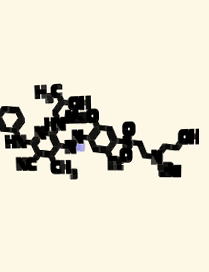 CCc1cc(/N=N/c2c(NCC(C)O)nc(Nc3ccccc3)c(C#N)c2C)c(OC)cc1S(=O)(=O)CCN(CCO)C(C)(C)C